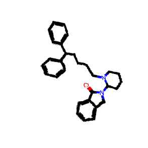 O=C1c2ccccc2CN1C1CCCCN1CCCCC(c1ccccc1)c1ccccc1